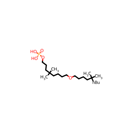 CCCCC(C)(C)CCCCOCCCCC(C)(C)CCCOP(=O)(O)O